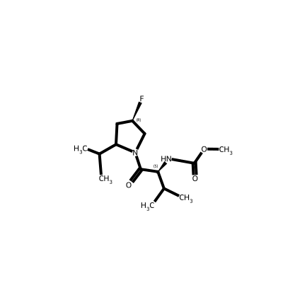 COC(=O)N[C@H](C(=O)N1C[C@H](F)CC1C(C)C)C(C)C